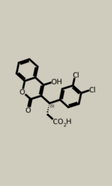 O=C(O)C[C@@H](c1ccc(Cl)c(Cl)c1)c1c(O)c2ccccc2oc1=O